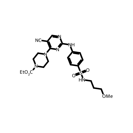 CCOC(=O)N1CCN(c2nc(Nc3ccc(S(=O)(=O)NCCCOC)cc3)ncc2C#N)CC1